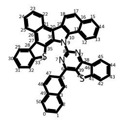 c1ccc2cc(-c3nc(-n4c5c6ccccc6ccc5c5c6ccccc6c6c7ccccc7sc6c54)nc4c3sc3ccccc34)ccc2c1